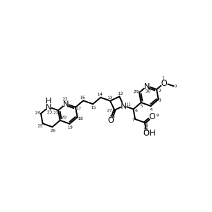 COc1ccc(C(CC(=O)O)N2CC(CCCc3ccc4c(n3)NCCC4)C2=O)cn1